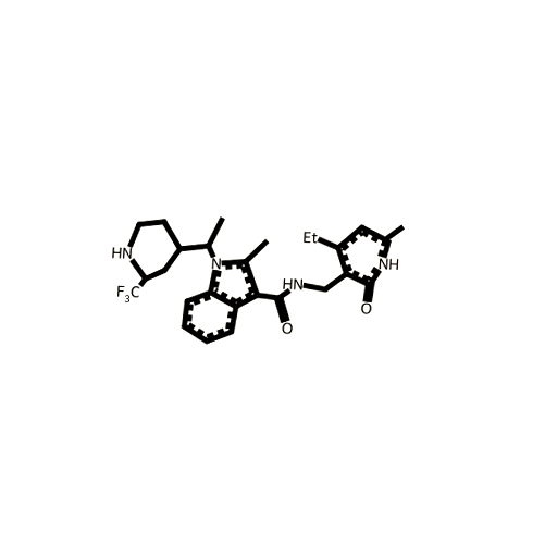 CCc1cc(C)[nH]c(=O)c1CNC(=O)c1c(C)n(C(C)C2CCNC(C(F)(F)F)C2)c2ccccc12